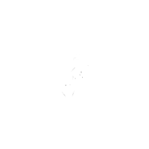 CC1CC(=O)c2c(C(C)(C)C)nn(-c3ccccc3)c2C1